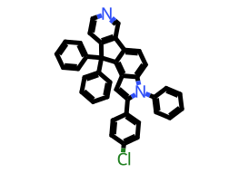 Clc1ccc(-c2cc3c4c(ccc3n2-c2ccccc2)-c2cnccc2C4(c2ccccc2)c2ccccc2)cc1